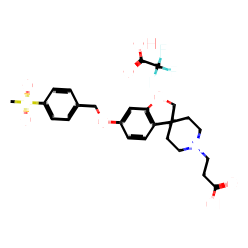 CS(=O)(=O)c1ccc(COc2ccc3c(c2)OCC32CCN(CCC(=O)O)CC2)cc1.O=C(O)C(F)(F)F